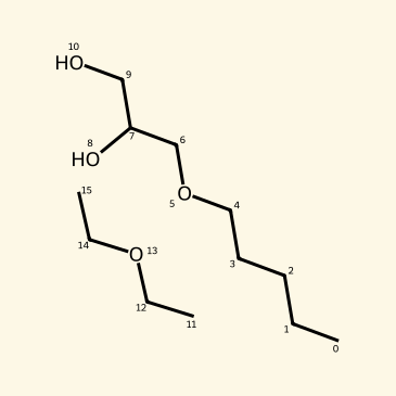 CCCCCOCC(O)CO.CCOCC